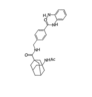 CC(=O)NC12CC3CC(C1)CC(C(=O)NCc1ccc(C(=O)Nc4ccccc4N)cc1)(C3)C2